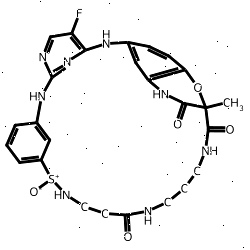 CC12Oc3ccc(cc3NC1=O)Nc1nc(ncc1F)Nc1cccc(c1)[S+]([O-])NCCC(=O)NCCCNC2=O